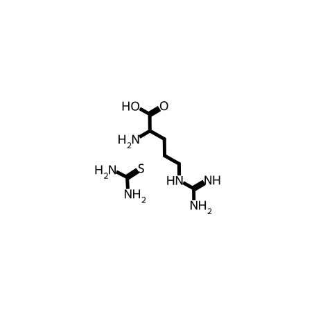 N=C(N)NCCCC(N)C(=O)O.NC(N)=S